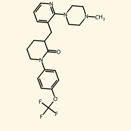 CN1CCN(c2ncccc2CC2CCCN(c3ccc(OC(F)(F)F)cc3)C2=O)CC1